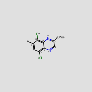 COc1cnc2c(Cl)cc(C)c(F)c2n1